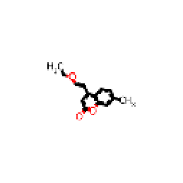 CCOC=Cc1cc(=O)oc2cc(C)ccc12